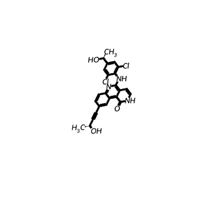 C[C@@H](O)C#Cc1ccc2nc(Nc3c(Cl)cc([C@@H](C)O)cc3Cl)c3cc[nH]c(=O)c3c2c1